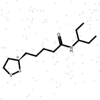 CCC(CC)NC(=O)CCCC[C@@H]1CCSS1